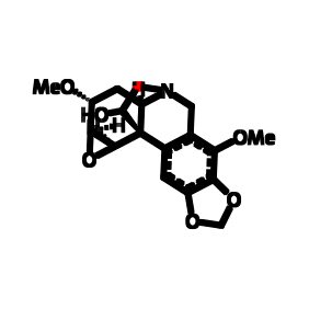 COc1c2c(cc3c1OCO3)[C@@]13C(O)CN(C2)[C@@H]1C[C@@H](OC)[C@@H]1O[C@@H]13